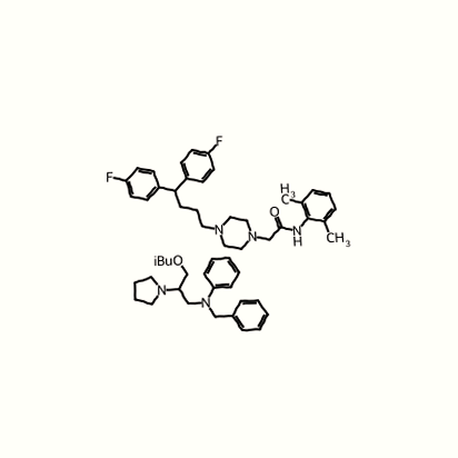 CC(C)COCC(CN(Cc1ccccc1)c1ccccc1)N1CCCC1.Cc1cccc(C)c1NC(=O)CN1CCN(CCCC(c2ccc(F)cc2)c2ccc(F)cc2)CC1